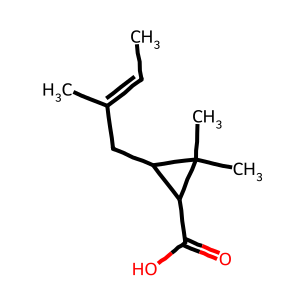 CC=C(C)CC1C(C(=O)O)C1(C)C